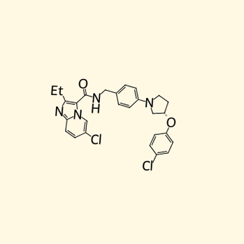 CCc1nc2ccc(Cl)cn2c1C(=O)NCc1ccc(N2CC[C@H](Oc3ccc(Cl)cc3)C2)cc1